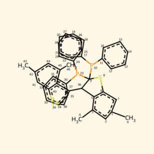 Cc1cc(C)c2c(c1)SC(P(c1ccccc1)c1ccccc1)(P(c1ccccc1)c1ccccc1)C2c1csc2cc(C)cc(C)c12